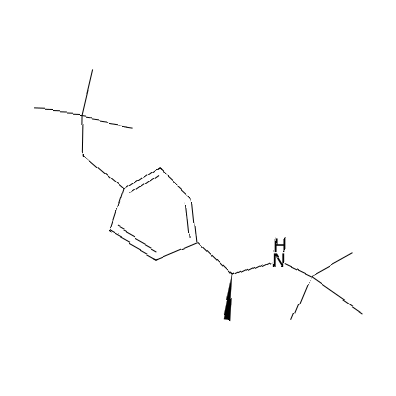 C[C@H](NC(C)(C)C)c1ccc(CC(C)(C)C)cc1